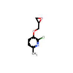 Cc1ccc(OCC2CO2)c(Cl)n1